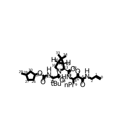 C=CCNC(=O)C(=O)C(CCC)NC(=O)[C@@H]1[C@@H]2[C@H](CN1C(=O)[C@@H](NC(=O)OC1CCC(C)C1)C(C)(C)C)C2(C)C